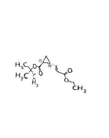 CCOC(=O)C=C[C@H]1C[C@@H]1C(=O)OC(C)(C)C